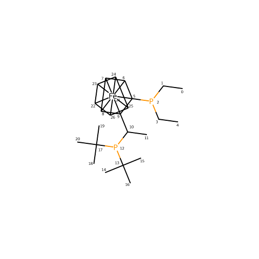 CCP(CC)[C]12[CH]3[CH]4[CH]5[C]1(C(C)P(C(C)(C)C)C(C)(C)C)[Fe]45321678[CH]2[CH]1[CH]6[CH]7[CH]28